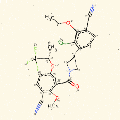 CCOc1c(C#N)ccc(C2CN(C(=O)c3c(O[C@@H](C)C(F)(F)F)ccc(C#N)c3OC)C2)c1Cl